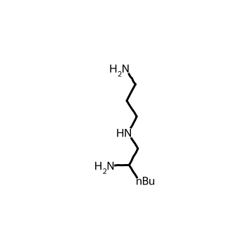 CCCCC(N)CNCCCN